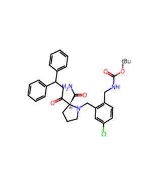 CC(C)(C)OC(=O)NCc1ccc(Cl)cc1CN1CCC[C@]1(C(N)=O)C(=O)CC(c1ccccc1)c1ccccc1